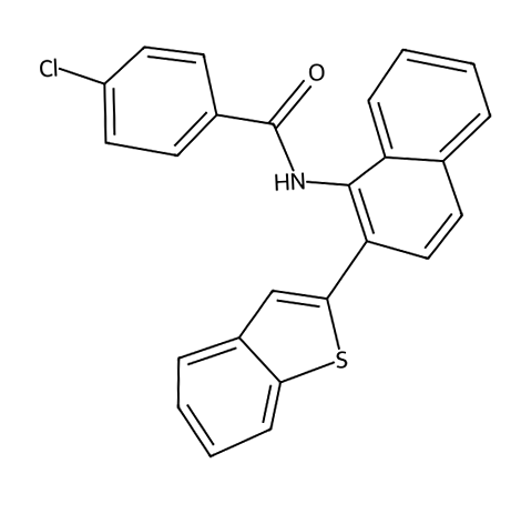 O=C(Nc1c(-c2cc3ccccc3s2)ccc2ccccc12)c1ccc(Cl)cc1